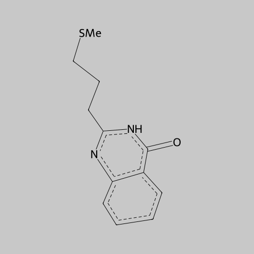 CSCCCc1nc2ccccc2c(=O)[nH]1